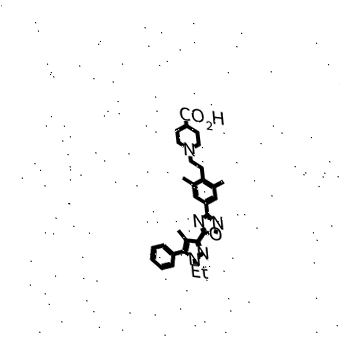 CCn1nc(-c2nc(-c3cc(C)c(CCN4CCC(C(=O)O)CC4)c(C)c3)no2)c(C)c1-c1ccccc1